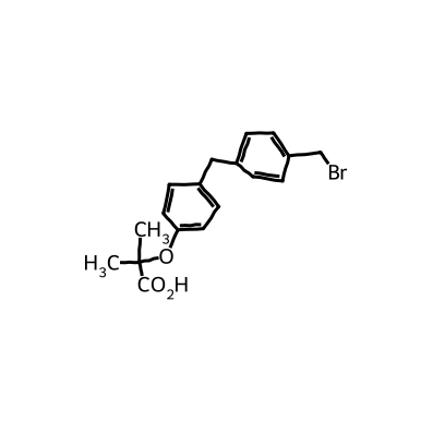 CC(C)(Oc1ccc(Cc2ccc(CBr)cc2)cc1)C(=O)O